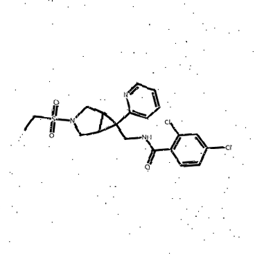 CCS(=O)(=O)N1CC2C(C1)C2(CNC(=O)c1ccc(Cl)cc1Cl)c1ccccn1